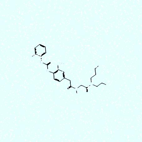 CCOC(=O)CCN(CCCC(=O)O)C(=O)CN(C)C(=O)Cc1ccc(NC(=O)Nc2ccccc2C)c(OC)c1